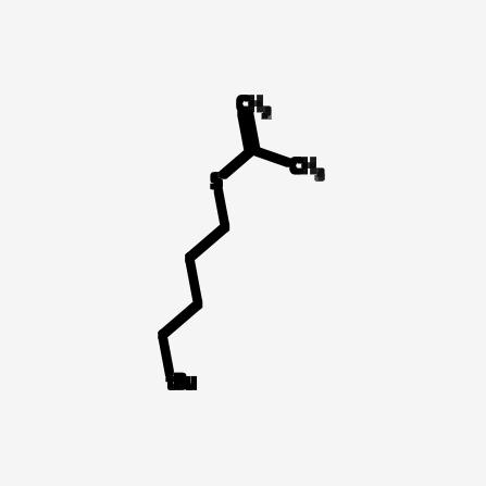 C=C(C)SCCCCC(C)(C)C